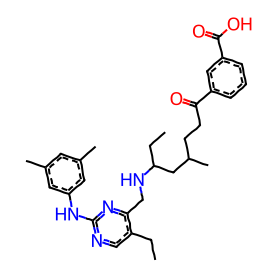 CCc1cnc(Nc2cc(C)cc(C)c2)nc1CNC(CC)CC(C)CCC(=O)c1cccc(C(=O)O)c1